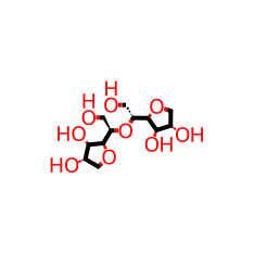 OC[C@@H](O[C@H](CO)[C@H]1OC[C@H](O)[C@H]1O)[C@H]1OC[C@H](O)[C@H]1O